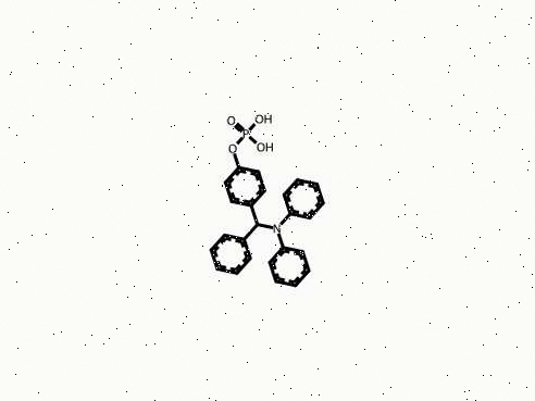 O=P(O)(O)Oc1ccc(C(c2ccccc2)N(c2ccccc2)c2ccccc2)cc1